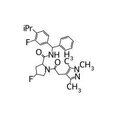 Cc1nn(C)c(C)c1CC(=O)N1CC(F)CC1C(=O)NC(c1ccccc1)c1ccc(C(C)C)c(F)c1